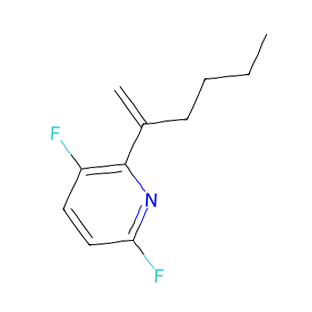 C=C(CCCC)c1nc(F)ccc1F